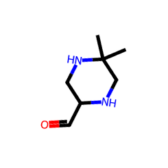 CC1(C)CNC(C=O)CN1